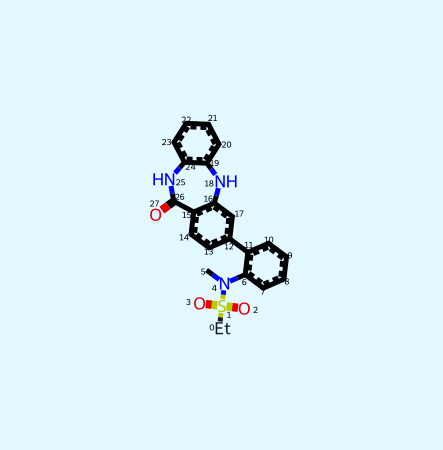 CCS(=O)(=O)N(C)c1ccccc1-c1ccc2c(c1)Nc1ccccc1NC2=O